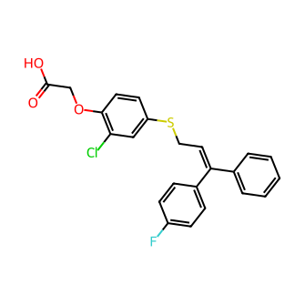 O=C(O)COc1ccc(SCC=C(c2ccccc2)c2ccc(F)cc2)cc1Cl